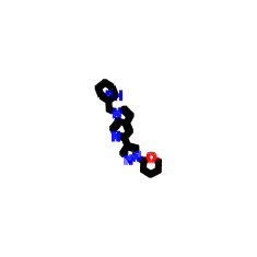 c1nn(C2CCCCO2)cc1-c1cc2ccn(CC3CC4CCC3N4)c2cn1